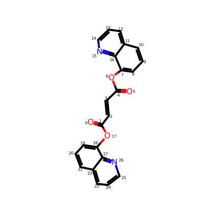 O=C(/C=C/C(=O)Oc1cccc2cccnc12)Oc1cccc2cccnc12